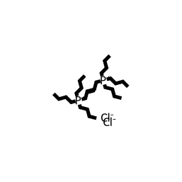 CCCC[P+](CC=CC[P+](CCCC)(CCCC)CCCC)(CCCC)CCCC.[Cl-].[Cl-]